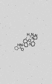 Cc1ccc2c(NC(=O)C3CCCC3)cccc2c1Oc1ncccc1-c1ccnc(N)n1